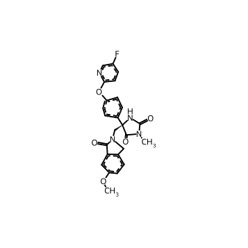 COc1ccc2c(c1)C(=O)N(C[C@@]1(c3ccc(Oc4ccc(F)cn4)cc3)NC(=O)N(C)C1=O)C2